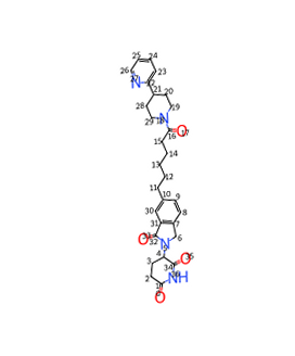 O=C1CCC(N2Cc3ccc(CCCCCC(=O)N4CCC(c5ccccn5)CC4)cc3C2=O)C(=O)N1